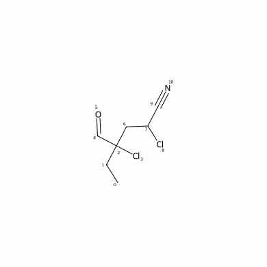 CCC(Cl)(C=O)CC(Cl)C#N